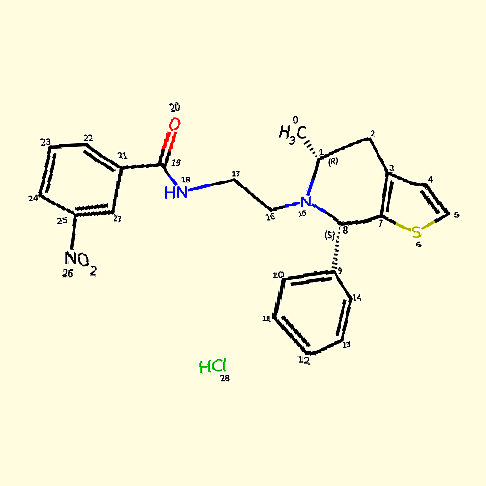 C[C@@H]1Cc2ccsc2[C@H](c2ccccc2)N1CCNC(=O)c1cccc([N+](=O)[O-])c1.Cl